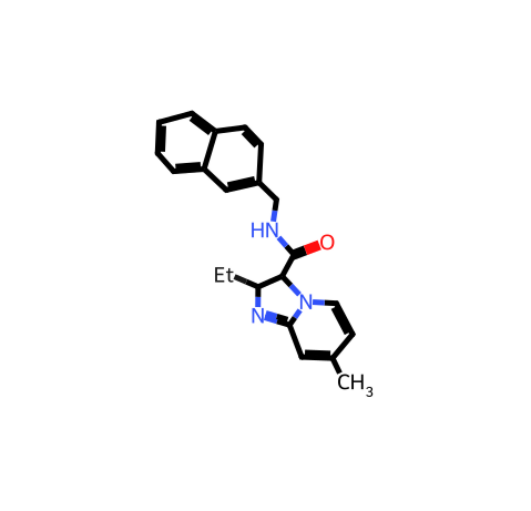 CCC1N=C2C=C(C)C=CN2C1C(=O)NCc1ccc2ccccc2c1